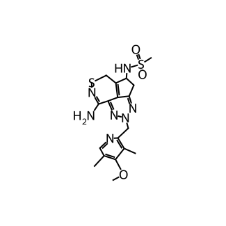 COc1c(C)cnc(CN2N=C3CC(NS(C)(=O)=O)C4=C3C(=N2)C(N)=NSC4)c1C